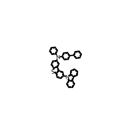 c1ccc(-c2ccc(N(c3ccccc3)c3ccc4sc5ccc(-n6c7ccccc7c7ccccc76)cc5c4c3)cc2)cc1